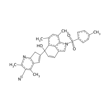 Cc1ccc(S(=O)(=O)n2cc3c4c(c(C)cc(C)c42)C(O)(C2=Cc4c(nc(C)c(C#N)c4C)C2)C=C3)cc1